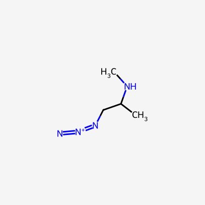 CNC(C)CN=[N+]=[N-]